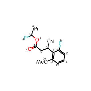 CCCC(F)OC(=O)CC(C#N)c1c(F)cccc1OC